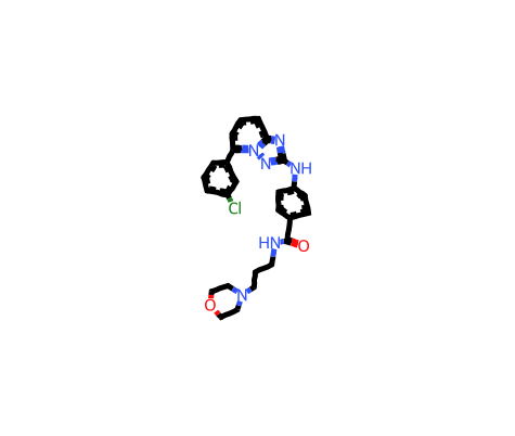 O=C(NCCCN1CCOCC1)c1ccc(Nc2nc3cccc(-c4cccc(Cl)c4)n3n2)cc1